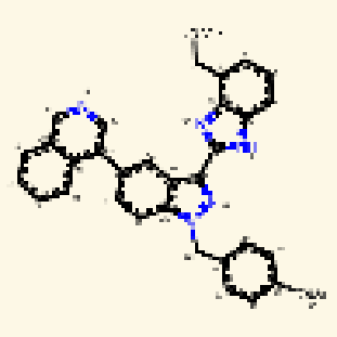 CNCc1cccc2[nH]c(-c3nn(Cc4ccc(OC)cc4)c4ccc(-c5cncc6ccccc56)cc34)nc12